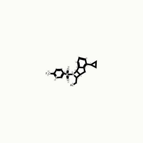 CC(=O)CC1C2Cc3c(C4CC4)cccc3C2N1S(=O)(=O)c1ccc(C(F)(F)F)nc1